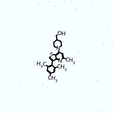 Cc1cc(C)c(-c2csc3c(N4CCC(CO)CC4)cc(C)nc23)c(C)c1